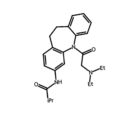 CCN(CC)CC(=O)N1c2ccccc2CCc2ccc(NC(=O)C(C)C)cc21